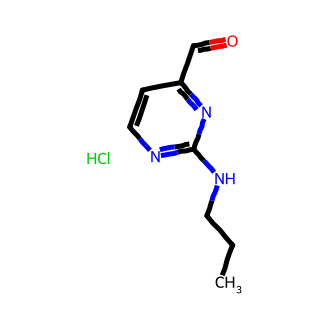 CCCNc1nccc(C=O)n1.Cl